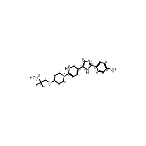 CC(C)(COC1CCN(C2=CC=C(c3nnc(-c4ccc(O)cc4)[nH]3)CN2)CC1)C(=O)O